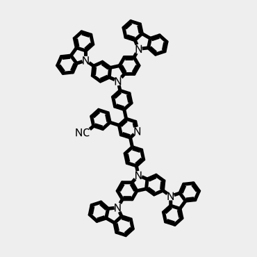 N#Cc1cccc(-c2cc(-c3ccc(-n4c5ccc(-n6c7ccccc7c7ccccc76)cc5c5cc(-n6c7ccccc7c7ccccc76)ccc54)cc3)ncc2-c2ccc(-n3c4ccc(-n5c6ccccc6c6ccccc65)cc4c4cc(-n5c6ccccc6c6ccccc65)ccc43)cc2)c1